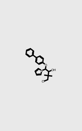 CC(C)(CCl)C(O)C(Oc1ccc(-c2ccccc2)cc1)n1cccc1